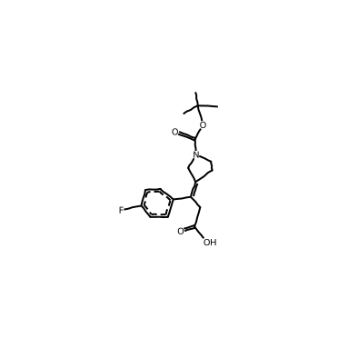 CC(C)(C)OC(=O)N1CC/C(=C(\CC(=O)O)c2ccc(F)cc2)C1